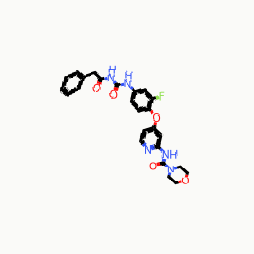 O=C(Cc1ccccc1)NC(=O)Nc1ccc(Oc2ccnc(NC(=O)N3CCOCC3)c2)c(F)c1